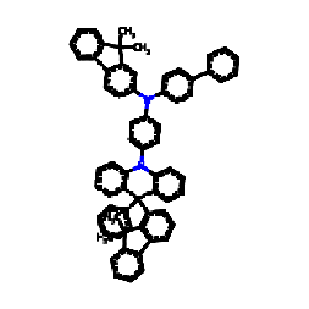 CC1(C)c2ccccc2-c2ccc(N(c3ccc(-c4ccccc4)cc3)c3ccc(N4c5ccccc5C(c5ccccc5)(c5cccc6c5C(C)(C)c5ccccc5-6)c5ccccc54)cc3)cc21